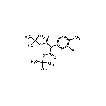 CC(C)(C)OC(=O)N(C(=O)OC(C)(C)C)c1ccc(N)c(F)c1